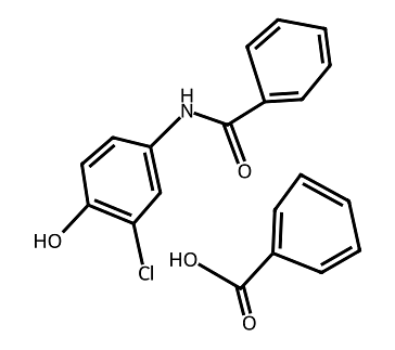 O=C(Nc1ccc(O)c(Cl)c1)c1ccccc1.O=C(O)c1ccccc1